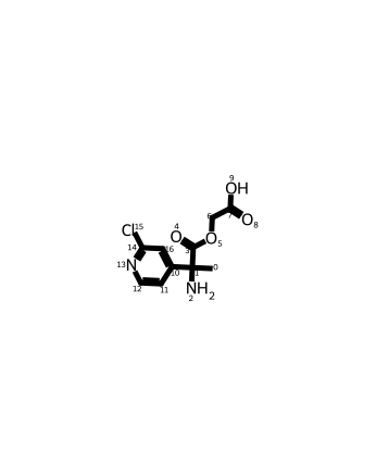 CC(N)(C(=O)OCC(=O)O)c1ccnc(Cl)c1